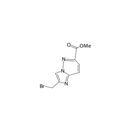 COC(=O)c1ccc2nc(CBr)cn2n1